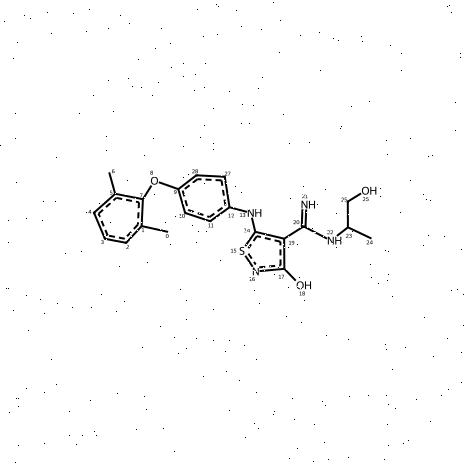 Cc1cccc(C)c1Oc1ccc(Nc2snc(O)c2C(=N)NC(C)CO)cc1